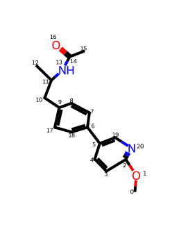 COc1ccc(-c2ccc(CC(C)NC(C)=O)cc2)cn1